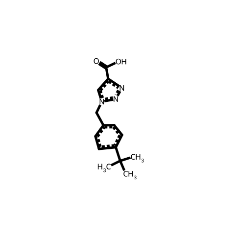 CC(C)(C)c1ccc(Cn2cc(C(=O)O)nn2)cc1